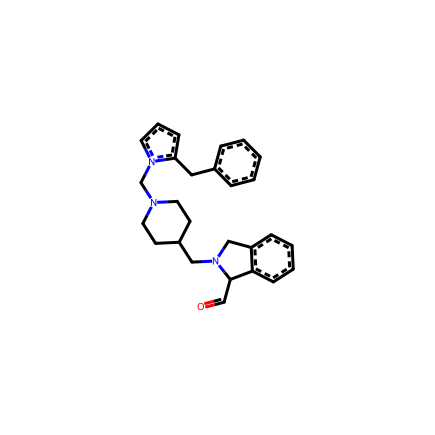 O=CC1c2ccccc2CN1CC1CCN(Cn2cccc2Cc2ccccc2)CC1